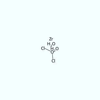 ClOCl.O.O.[Zr]